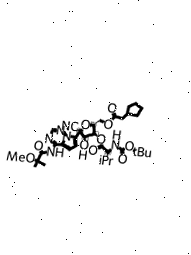 COC(C)(C)C(=O)Nc1ncnn2c([C@]3(C#N)O[C@H](COC(=O)CC4CCCC4)[C@@H](OC(=O)[C@H](NC(=O)OC(C)(C)C)C(C)C)[C@H]3O)ccc12